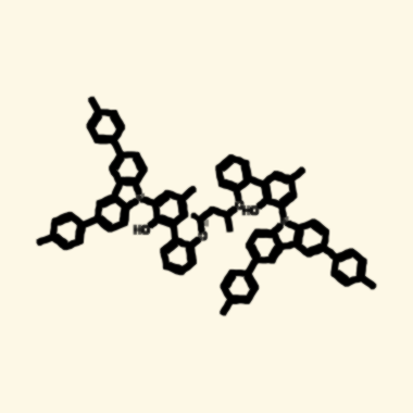 Cc1ccc(-c2ccc3c(c2)c2cc(-c4ccc(C)cc4)ccc2n3-c2cc(C)cc(-c3ccccc3OC(C)C[C@H](C)Oc3ccccc3-c3cc(C)cc(-n4c5ccc(-c6ccc(C)cc6)cc5c5cc(-c6ccc(C)cc6)ccc54)c3O)c2O)cc1